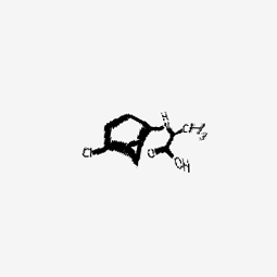 C[C@H](Nc1ccc(Cl)c2c1C2)C(=O)O